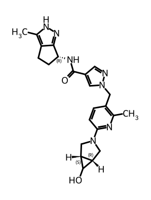 Cc1nc(N2C[C@@H]3C(O)[C@@H]3C2)ccc1Cn1cc(C(=O)N[C@@H]2CCc3c2n[nH]c3C)cn1